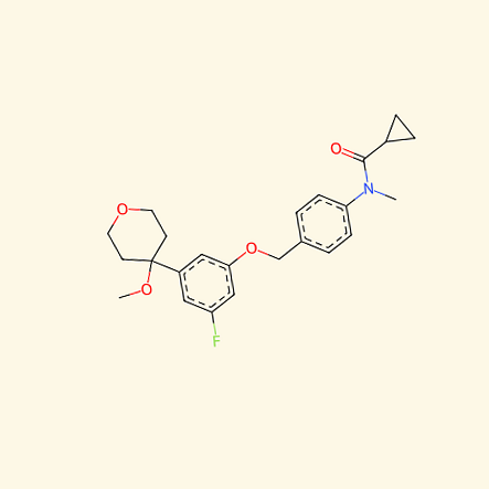 COC1(c2cc(F)cc(OCc3ccc(N(C)C(=O)C4CC4)cc3)c2)CCOCC1